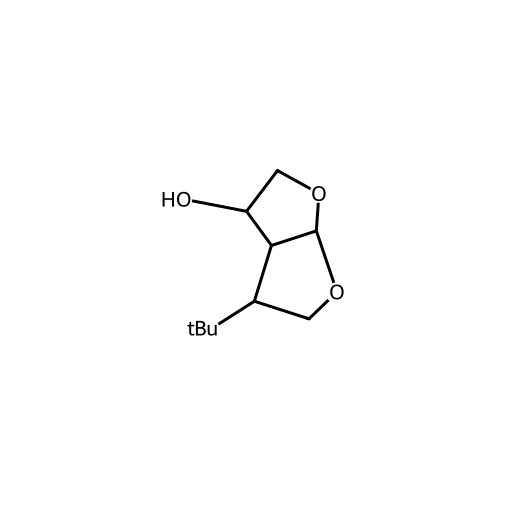 CC(C)(C)C1COC2OCC(O)C21